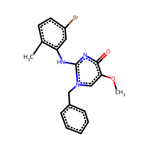 COc1cn(Cc2ccccc2)c(Nc2cc(Br)ccc2C)nc1=O